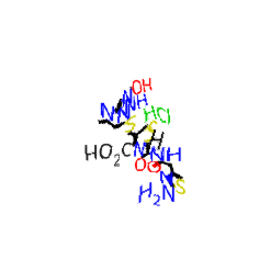 CC1=NC2=CN(CO)NN2C(SCC2=C(C(=O)O)N3C(=O)C(NC(=O)Cc4csc(N)n4)[C@H]3SC2)=C1.Cl